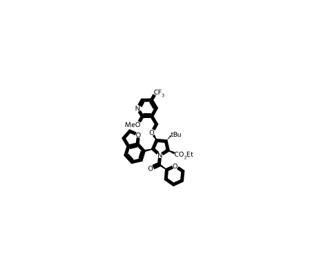 CCOC(=O)[C@@H]1[C@@H](C(C)(C)C)[C@H](OCc2cc(C(F)(F)F)cnc2OC)[C@H](c2cccc3c2OCC3)N1C(=O)[C@@H]1CCCCO1